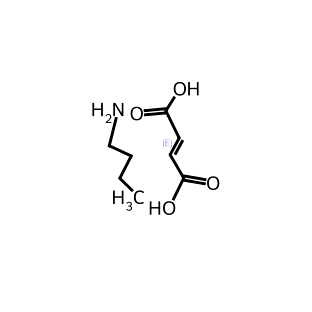 CCCCN.O=C(O)/C=C/C(=O)O